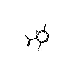 C=C(C)c1nc(C)ccc1Cl